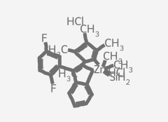 CC1=C(C)C(C)[C]([Zr]([CH3])([CH3])(=[SiH2])[CH]2C=C(c3cc(F)ccc3F)c3ccccc32)=C1C.Cl.Cl